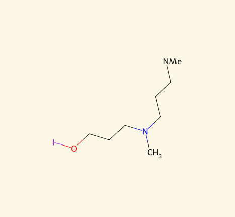 CNCCCN(C)CCCOI